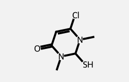 CN1C(=O)C=C(Cl)N(C)C1S